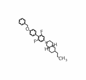 CCCC1CC[C@@H]2C[C@H](c3cc(F)c(-c4ccc(OCc5ccccc5)cc4)c(F)c3)CC[C@@H]2C1